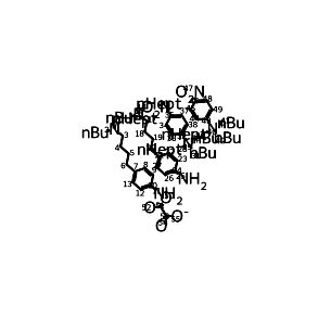 CCCCCCCN(CCCC)CCCCc1ccc(N)cc1.CCCCCCCN(CCCC)CCCCc1ccc(N)cc1.CCCCCCC[N+](CCCC)(CCCC)c1ccc([N+](=O)[O-])cc1.CCCCCCC[N+](CCCC)(CCCC)c1ccc([N+](=O)[O-])cc1.O=C([O-])C(=O)[O-]